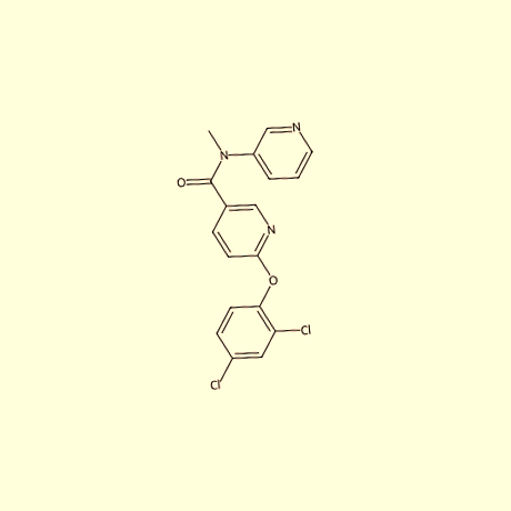 CN(C(=O)c1ccc(Oc2ccc(Cl)cc2Cl)nc1)c1cccnc1